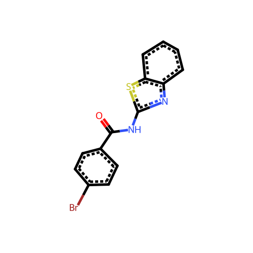 O=C(Nc1nc2ccccc2s1)c1ccc(Br)cc1